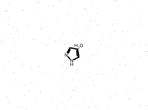 O.c1cn[nH]c1